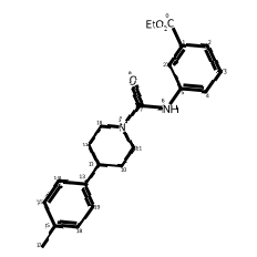 CCOC(=O)c1cccc(NC(=O)N2CCC(c3ccc(C)cc3)CC2)c1